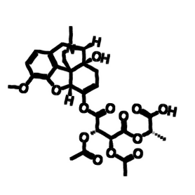 COc1ccc2c3c1O[C@H]1C(OC(=O)[C@@H](OC(C)=O)[C@H](OC(C)=O)C(=O)O[C@@H](C)C(=O)O)=CC[C@@]4(O)[C@@H](C2)N(C)CC[C@]314